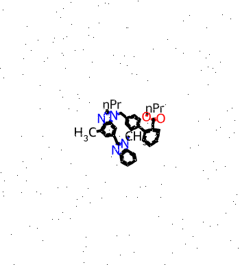 CCCOC(=O)c1ccccc1-c1ccc(Cn2c(CCC)nc3c(C)cc(-c4nc5ccccc5n4C)cc32)cc1